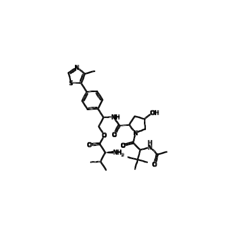 CC(=O)NC(C(=O)N1CC(O)CC1C(=O)NC(COC(=O)[C@@H](N)C(C)C)c1ccc(-c2scnc2C)cc1)C(C)(C)C